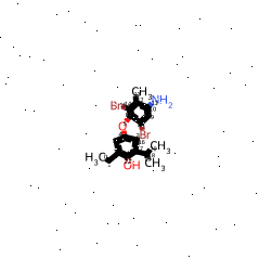 CCc1cc(Oc2c(Br)cc(N)c(C)c2Br)cc(C(C)C)c1O